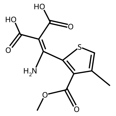 COC(=O)c1c(C)csc1C(N)=C(C(=O)O)C(=O)O